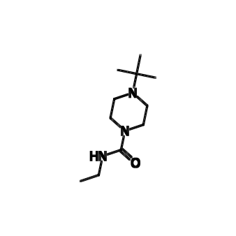 CCNC(=O)N1CCN(C(C)(C)C)CC1